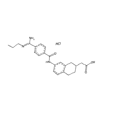 CCCN=C(N)c1ccc(C(=O)Nc2ccc3c(c2)CC(CC(=O)O)CC3)cc1.Cl